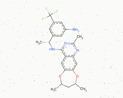 Cc1nc(N[C@H](C)c2cc(N)cc(C(F)(F)F)c2)c2cc3c(cc2n1)OC(C)CC(C)O3